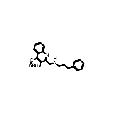 CCCCOc1c(C)c(CNCCCc2ccccc2)nc2ccccc12